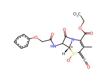 CC1=C(C(=O)OCC(Cl)(Cl)Cl)N2C(=O)C(NC(=O)COc3ccccc3)[C@H]2[S+]([O-])C1=C=O